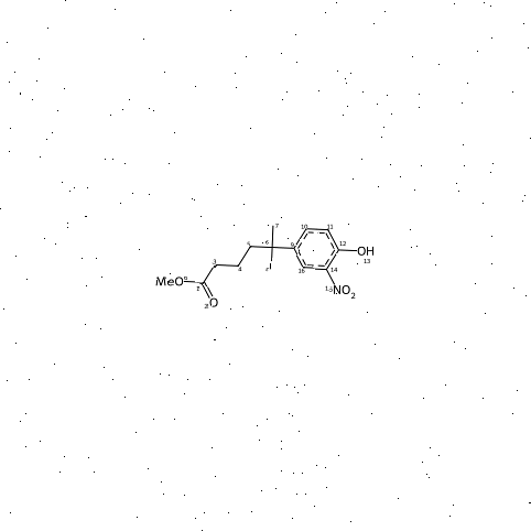 COC(=O)CCCC(C)(C)c1ccc(O)c([N+](=O)[O-])c1